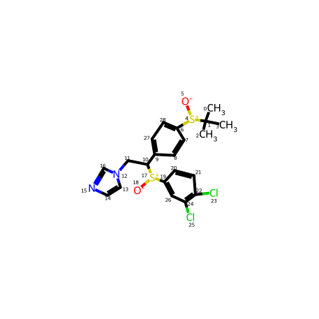 CC(C)(C)[S+]([O-])c1ccc(C(Cn2ccnc2)[S+]([O-])c2ccc(Cl)c(Cl)c2)cc1